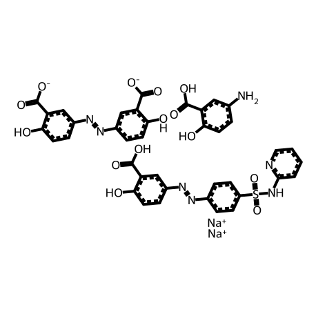 Nc1ccc(O)c(C(=O)O)c1.O=C(O)c1cc(N=Nc2ccc(S(=O)(=O)Nc3ccccn3)cc2)ccc1O.O=C([O-])c1cc(/N=N/c2ccc(O)c(C(=O)[O-])c2)ccc1O.[Na+].[Na+]